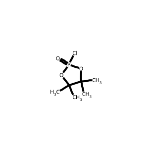 CC1(C)OP(=O)(Cl)OC1(C)C